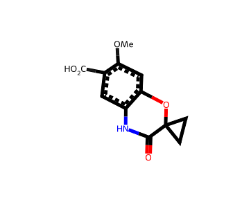 COc1cc2c(cc1C(=O)O)NC(=O)C1(CC1)O2